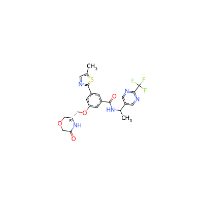 Cc1cnc(-c2cc(OC[C@H]3COCC(=O)N3)cc(C(=O)NC(C)c3cnc(C(F)(F)F)nc3)c2)s1